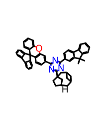 CC1(C)c2ccccc2-c2ccc(-c3nc(-c4ccc5c(c4)Oc4ccccc4C54c5ccccc5-c5ccccc54)nc(C45CC[C@@H](CC6CC(C6)C4)C5)n3)cc21